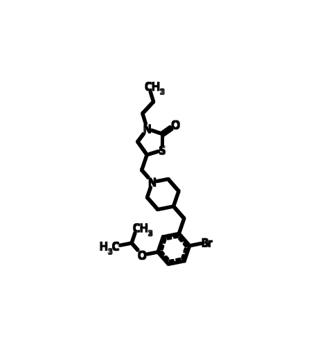 CCCN1CC(CN2CCC(Cc3cc(OC(C)C)ccc3Br)CC2)SC1=O